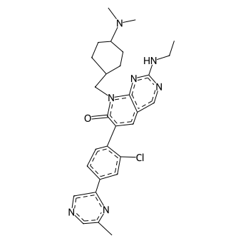 CCNc1ncc2cc(-c3ccc(-c4cncc(C)n4)cc3Cl)c(=O)n(CC3CCC(N(C)C)CC3)c2n1